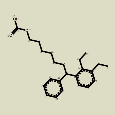 CCc1cccc(C(CCCCCCOC(=O)O)c2ccccc2)c1CC